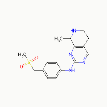 CC1NCCc2cnc(Nc3ccc(CS(C)(=O)=O)cc3)nc21